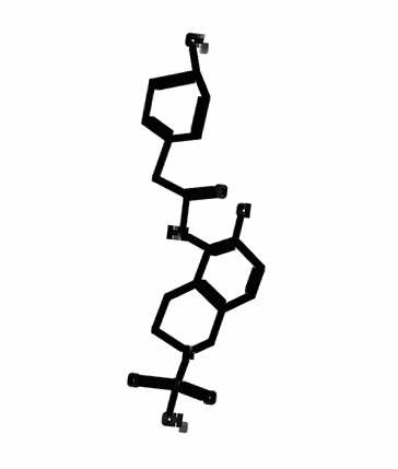 CS(=O)(=O)N1CCc2c(ccc(Cl)c2NC(=O)Cc2ccc(C(F)(F)F)cc2)C1